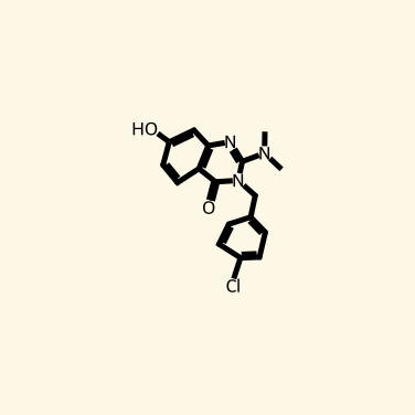 CN(C)c1nc2cc(O)ccc2c(=O)n1Cc1ccc(Cl)cc1